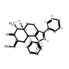 C[C@@H]1C(=O)C(=CO)C[C@]2(c3ccccc3)c3c(c(-c4cccnc4)nn3C)CC[C@@H]12